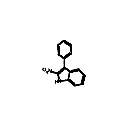 O=[N+]([O-])c1[nH]c2ccccc2c1-c1ccccc1